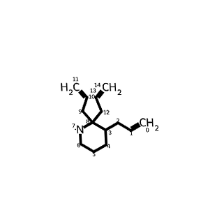 C=CCC1CCC[N]C1(CC=C)CC=C